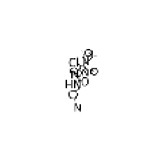 C[C@@H]1CN(c2c(C=O)nc3c(C(=O)NCc4cccc(C#N)c4)noc3c2Cl)C[C@H](C)O1